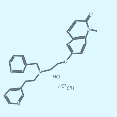 Cl.Cl.Cl.Cn1c(=O)ccc2cc(OCCN(CCc3cccnc3)Cc3cccnc3)ccc21